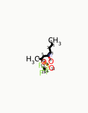 CCC/C=C(\CCC)OS(=O)(=O)C(F)(F)F